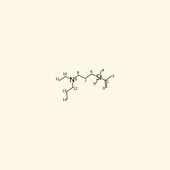 C=C(C)[Si](C)(C)CCCN(CC)CCC